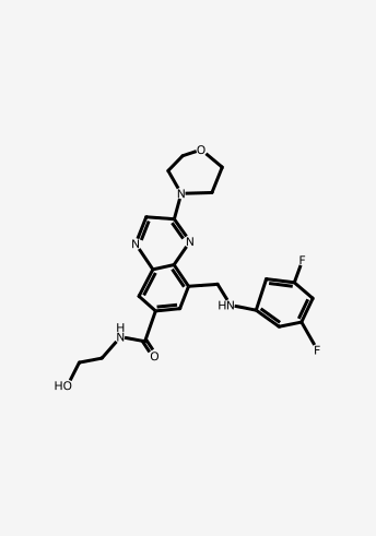 O=C(NCCO)c1cc(CNc2cc(F)cc(F)c2)c2nc(N3CCOCC3)cnc2c1